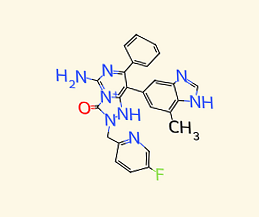 Cc1cc(-c2c(-c3ccccc3)nc(N)[n+]3c(=O)n(Cc4ccc(F)cn4)[nH]c23)cc2nc[nH]c12